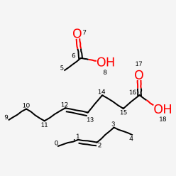 C/[C]=C/CC.CC(=O)O.CCC/C=C/CCC(=O)O